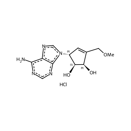 COCC1=C[C@@H](n2cnc3c(N)ncnc32)[C@H](O)[C@@H]1O.Cl